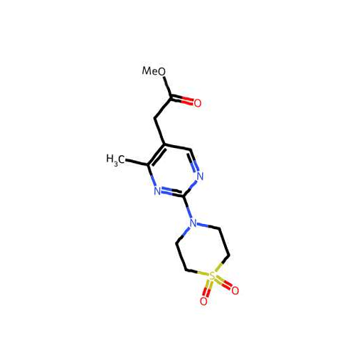 COC(=O)Cc1cnc(N2CCS(=O)(=O)CC2)nc1C